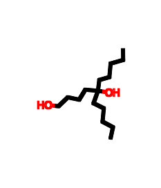 CCCCCC(O)(CCCCC)CCCCO